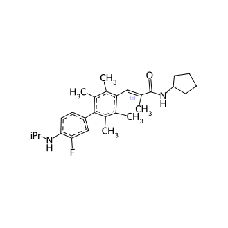 C/C(=C\c1c(C)c(C)c(-c2ccc(NC(C)C)c(F)c2)c(C)c1C)C(=O)NC1CCCC1